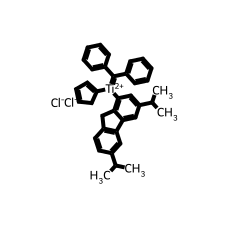 CC(C)c1ccc2c(c1)-c1cc(C(C)C)c[c]([Ti+2]([C]3=CC=CC3)=[C](c3ccccc3)c3ccccc3)c1C2.[Cl-].[Cl-]